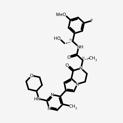 COc1cc(F)cc([C@@H](CO)NC(=O)[C@H](C)N2CCn3cc(-c4nc(NC5CCOCC5)ncc4C)cc3C2=O)c1